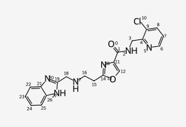 O=C(NCc1ncccc1Cl)c1coc(CCNCc2nc3ccccc3[nH]2)n1